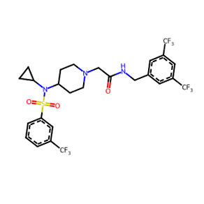 O=C(CN1CCC(N(C2CC2)S(=O)(=O)c2cccc(C(F)(F)F)c2)CC1)NCc1cc(C(F)(F)F)cc(C(F)(F)F)c1